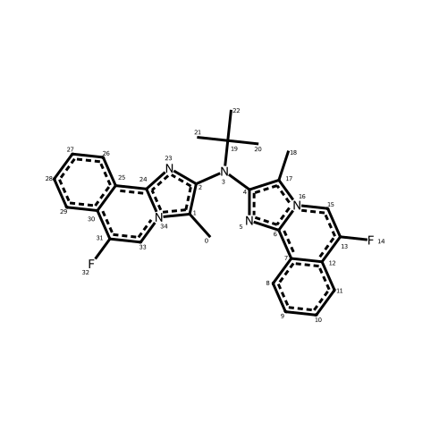 Cc1c(N(c2nc3c4ccccc4c(F)cn3c2C)C(C)(C)C)nc2c3ccccc3c(F)cn12